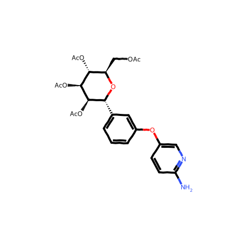 CC(=O)OC[C@H]1O[C@H](c2cccc(Oc3ccc(N)nc3)c2)[C@@H](OC(C)=O)[C@@H](OC(C)=O)[C@@H]1OC(C)=O